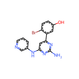 Nc1nc(Nc2cccnc2)cc(-c2cc(O)ccc2Br)n1